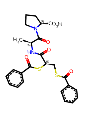 C[C@H](NC(=O)[C@@H](CSC(=O)c1ccccc1)SC(=O)c1ccccc1)C(=O)N1CCC[C@H]1C(=O)O